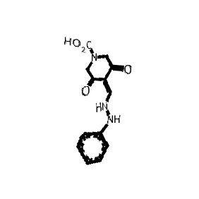 O=C1CN(C(=O)O)CC(=O)C1=CNNc1ccccc1